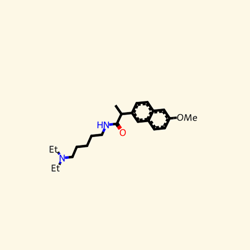 CCN(CC)CCCCCNC(=O)C(C)c1ccc2cc(OC)ccc2c1